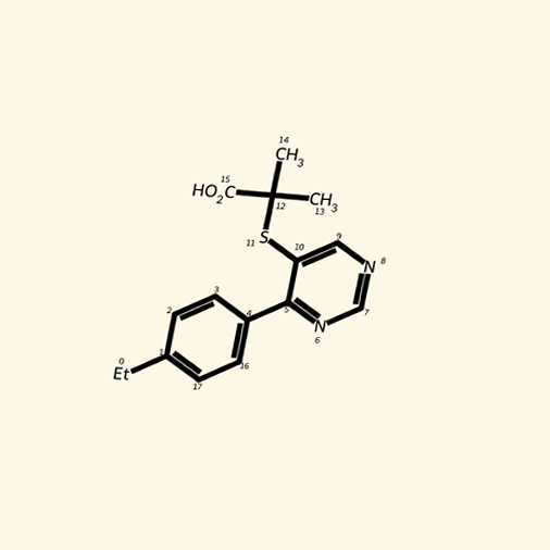 CCc1ccc(-c2ncncc2SC(C)(C)C(=O)O)cc1